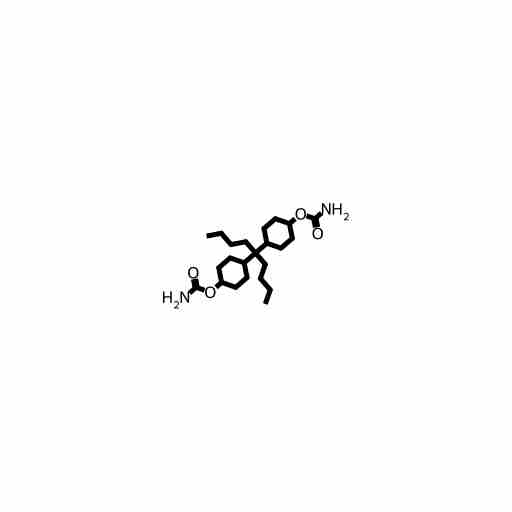 CCCCC(CCCC)(C1CCC(OC(N)=O)CC1)C1CCC(OC(N)=O)CC1